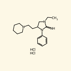 CCN1CC(CCN2CCCCC2)N(c2ccccc2)C1=N.Cl.Cl